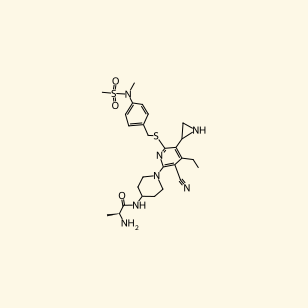 CCc1c(C#N)c(N2CCC(NC(=O)[C@H](C)N)CC2)nc(SCc2ccc(N(C)S(C)(=O)=O)cc2)c1C1CN1